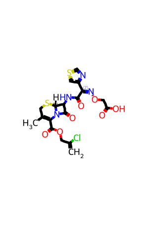 C=C(Cl)COC(=O)C1=C(C)CS[C@@H]2C(NC(=O)/C(=N\OCC(=O)O)c3cscn3)C(=O)N12